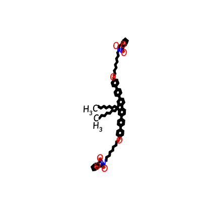 CCCCCCCCC1(CCCCCCCC)c2cc(-c3ccc(-c4ccc(OCCCCCCCCN5C(=O)C6C7C=CC(O7)C6C5=O)cc4)cc3)ccc2-c2ccc(-c3ccc(-c4ccc(OCCCCCCCCN5C(=O)C6C7C=CC(O7)C6C5=O)cc4)cc3)cc21